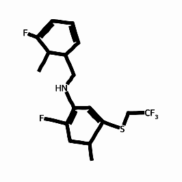 CC1CC(F)=C(NCC2C=CC=C(F)C2C)C=C1SCC(F)(F)F